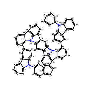 c1ccc(-n2c3ccccc3c3cc(-c4cccc5c6cccc7c8cc9c(cc8n(c45)c76)c4cc5ccccc5c5c6cccc(-c7ccc8c(c7)c7ccccc7n8-c7ccccc7)c6n9c45)ccc32)cc1